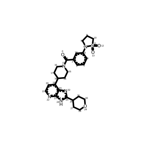 O=C(c1cccc(N2CCCS2(=O)=O)c1)N1CCC(c2ccnc3[nH]c(C4CCOCC4)nc23)CC1